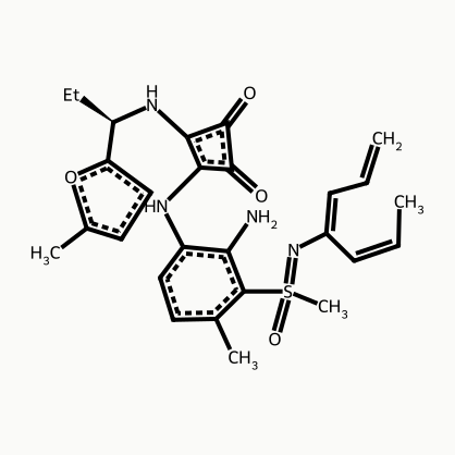 C=C/C=C(\C=C/C)N=S(C)(=O)c1c(C)ccc(Nc2c(N[C@H](CC)c3ccc(C)o3)c(=O)c2=O)c1N